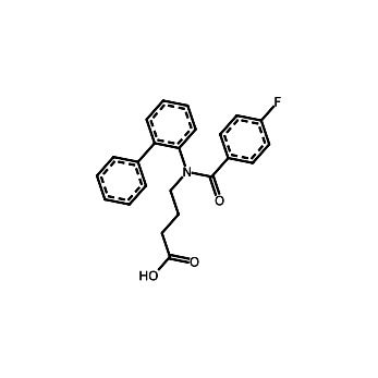 O=C(O)CCCN(C(=O)c1ccc(F)cc1)c1ccccc1-c1ccccc1